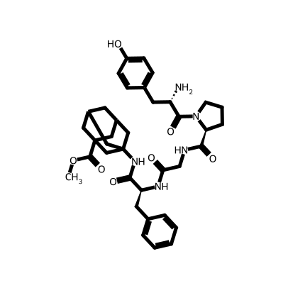 COC(=O)C12CC3CC(CC(NC(=O)[C@H](Cc4ccccc4)NC(=O)CNC(=O)[C@@H]4CCCN4C(=O)[C@@H](N)Cc4ccc(O)cc4)(C3)C1)C2